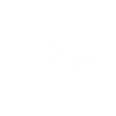 CSc1ncc2c(=O)n(-c3ccc(C)cc3Cl)c3nccn3c2n1